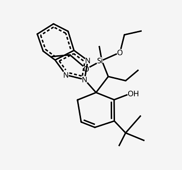 CCO[Si](C)(OCC)C(CC)C1(n2nc3ccccc3n2)CC=CC(C(C)(C)C)=C1O